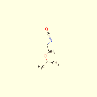 CC(C)O[SiH2]CN=C=O